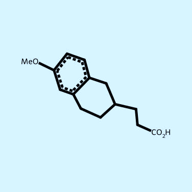 COc1ccc2c(c1)CCC(CCC(=O)O)C2